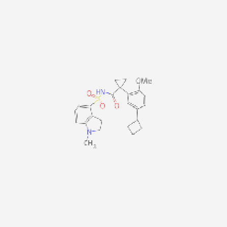 COc1ccc(C2CCC2)cc1C1(C(=O)NS(=O)(=O)c2cccc3c2CCN3C)CC1